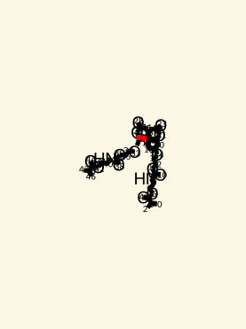 C=C(C)C(=O)OCCNC(=O)OCCOc1ccc2c(c1)OC(=O)CC21CC(=O)Oc2cc(OCCOC(=O)NCCOC(=O)C(=C)C)ccc21